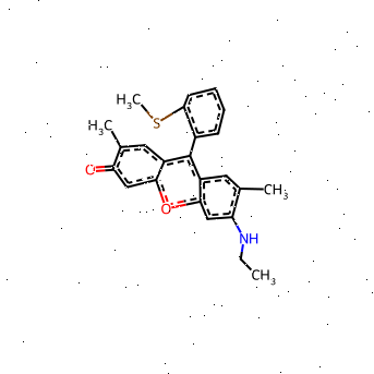 CCNc1cc2oc3cc(=O)c(C)cc-3c(-c3ccccc3SC)c2cc1C